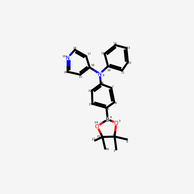 CC1(C)OB(c2ccc(N(c3ccccc3)c3ccncc3)cc2)OC1(C)C